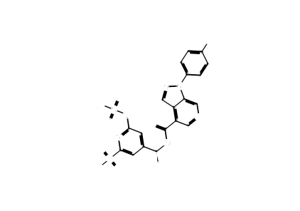 CC[C@H](NC(=O)c1cncc2c1cnn2-c1ccc(F)cc1)c1cc(OS(C)(=O)=O)nc(S(C)(=O)=O)c1